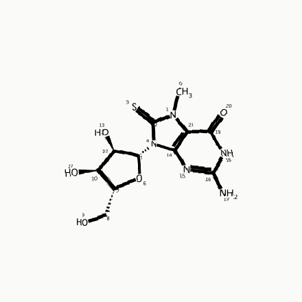 Cn1c(=S)n([C@@H]2O[C@H](CO)[C@@H](O)[C@H]2O)c2nc(N)[nH]c(=O)c21